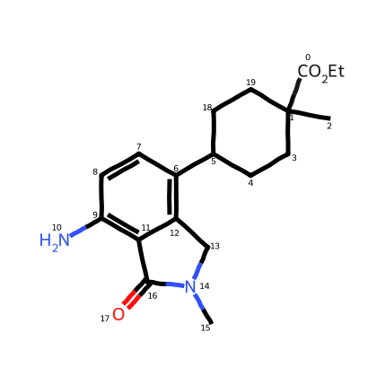 CCOC(=O)C1(C)CCC(c2ccc(N)c3c2CN(C)C3=O)CC1